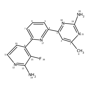 Cc1cc(-c2cccc(-c3ccnc(N)c3F)n2)nc(N)n1